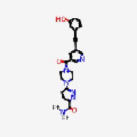 CCN(CC)C(=O)c1ccc(N2CCN(C(=O)c3cncc(C#Cc4cccc(O)c4)c3)CC2)nn1